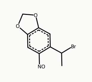 CC(Br)c1cc2c(cc1N=O)OCO2